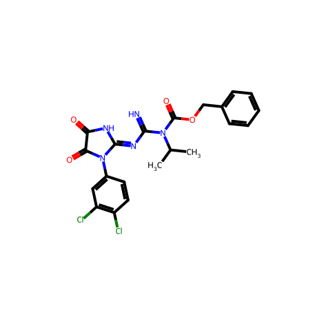 CC(C)N(C(=N)/N=C1\NC(=O)C(=O)N1c1ccc(Cl)c(Cl)c1)C(=O)OCc1ccccc1